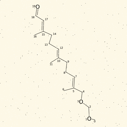 COCOC/C(C)=C/CC/C(C)=C/CC/C(C)=C/C=O